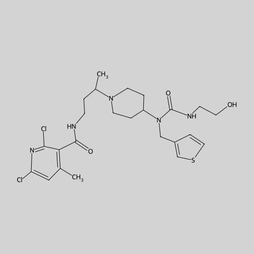 Cc1cc(Cl)nc(Cl)c1C(=O)NCCC(C)N1CCC(N(Cc2ccsc2)C(=O)NCCO)CC1